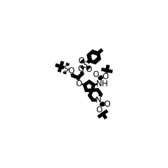 Cc1ccc(S(=O)(=O)OCC(COS(C)(C)C(C)(C)C)O[C@H]2C[C@@H](NC(=O)OC(C)(C)C)C3(CCN(C(=O)OC(C)(C)C)CC3)C2)cc1